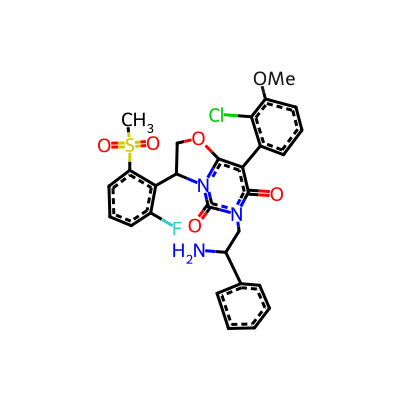 COc1cccc(-c2c3n(c(=O)n(CC(N)c4ccccc4)c2=O)C(c2c(F)cccc2S(C)(=O)=O)CO3)c1Cl